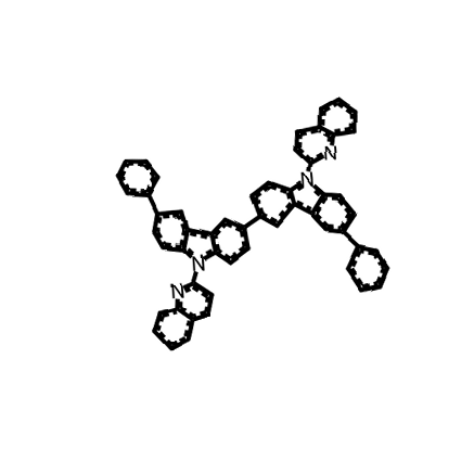 c1ccc(-c2ccc3c(c2)c2cc(-c4ccc5c(c4)c4cc(-c6ccccc6)ccc4n5-c4ccc5ccccc5n4)ccc2n3-c2ccc3ccccc3n2)cc1